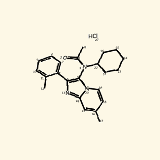 CC(=O)N(c1c(-c2ccccc2C)nc2cc(C)ccn12)C1CCCCC1.Cl